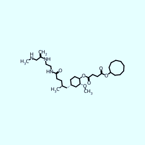 C=C(CNC)NCCNC(=O)CC[C@H](C)C[C@@H]1CC[C@@H](OC(=O)CCC(=O)OC2CCCCCCCC2)[C@H](OC)C1